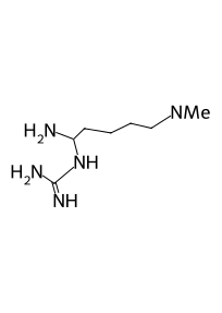 CNCCCCC(N)NC(=N)N